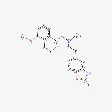 COc1cccc2c1CCC[C@H]2CN(C)CCc1ccc2sc(Cl)nc2c1